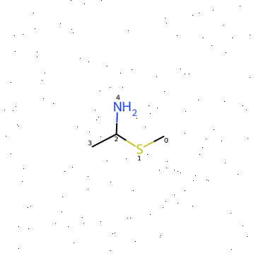 CSC(C)N